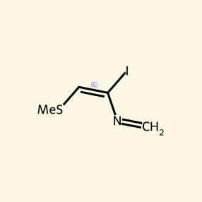 C=N/C(I)=C\SC